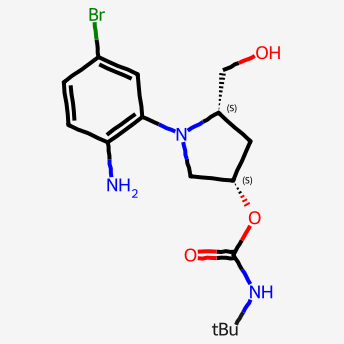 CC(C)(C)NC(=O)O[C@H]1C[C@@H](CO)N(c2cc(Br)ccc2N)C1